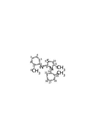 Cc1ccccc1N=c1scc(C)n1-c1ccccc1C